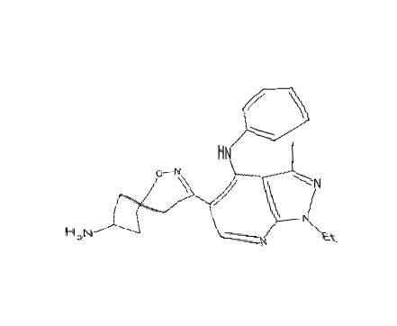 CCn1nc(C)c2c(Nc3ccccc3)c(C3=NOC4(C3)CC(N)C4)cnc21